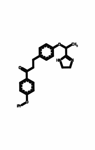 CC(C)Oc1ccc(C(=O)CCc2ccc(OC(C)C3=NCCN3)cc2)cc1